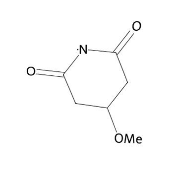 COC1CC(=O)[N]C(=O)C1